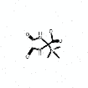 C[N+](C)(C)C(NC=O)(NC=O)C(=O)[O-]